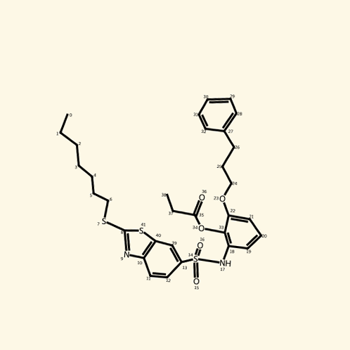 CCCCCCCSc1nc2ccc(S(=O)(=O)Nc3cccc(OCCCc4ccccc4)c3OC(=O)CC)cc2s1